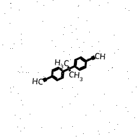 C#Cc1ccc(C(C)(C)c2ccc(C#C)cc2)cc1